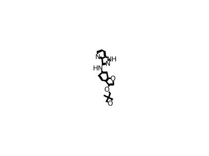 CC1(COc2coc3cc(Nc4n[nH]c5cccnc45)ccc23)COC1